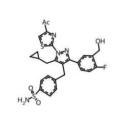 CC(=O)c1csc(-n2nc(-c3ccc(F)c(CO)c3)c(Cc3ccc(S(N)(=O)=O)cc3)c2CC2CC2)n1